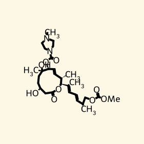 COC(=O)OCC(C)/C=C/C=C(\C)[C@H]1OC(=O)C[C@@H](O)CC[C@](C)(O)[C@@H](OC(=O)N2CCN(C)CC2)/C=C/[C@@H]1C